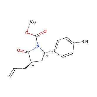 C=CC[C@@H]1C[C@@H](c2ccc(C#N)cc2)N(C(=O)OC(C)(C)C)C1=O